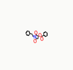 O=C(OC1CC(=O)N(CCc2ccccc2)C1=O)c1ccccc1